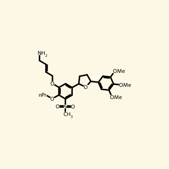 CCCOc1c(OCC=CCN)cc(C2CCC(c3cc(OC)c(OC)c(OC)c3)O2)cc1S(C)(=O)=O